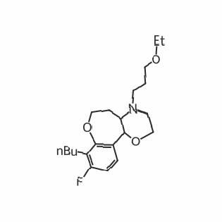 CCCCc1c(F)ccc2c1OCCC1C2OCCN1CCCOCC